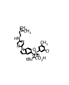 Cc1cc(Cl)cc(S(=O)(=O)N(c2ccc3c(ccn3-c3cnc(NCCN(C)C)cn3)c2)C(C(=O)O)C(C)(C)C)c1